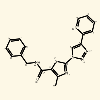 Cc1nc(-n2cc(-c3ccccn3)nn2)sc1C(=O)NCc1ccccc1